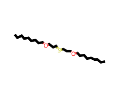 CCCCCCCCCOCCCSCCCOCCCCCCCCC